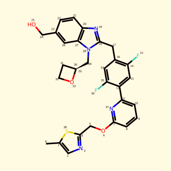 Cc1cnc(COc2cccc(-c3cc(F)c(Cc4nc5ccc(CO)cc5n4C[C@@H]4CCO4)cc3F)n2)s1